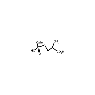 COP(=O)(O)SCC(N)C(=O)O